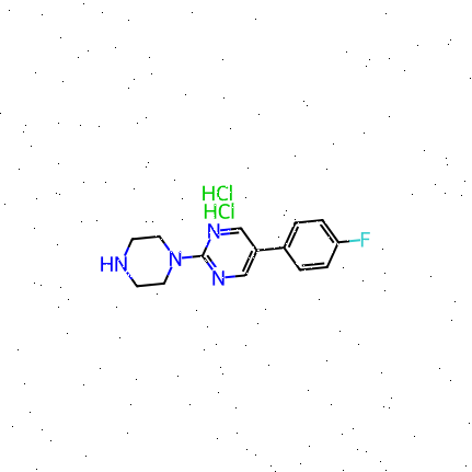 Cl.Cl.Fc1ccc(-c2cnc(N3CCNCC3)nc2)cc1